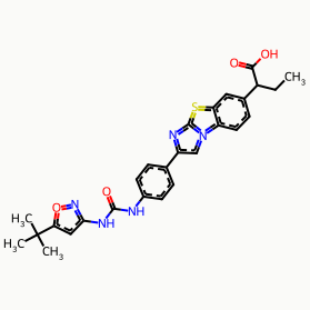 CCC(C(=O)O)c1ccc2c(c1)sc1nc(-c3ccc(NC(=O)Nc4cc(C(C)(C)C)on4)cc3)cn12